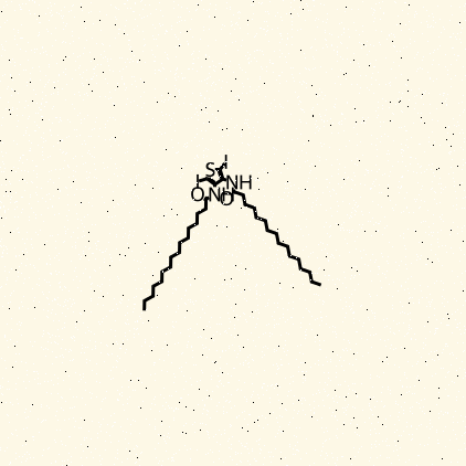 CCCCCCCCCCCCCCCC(=O)Nc1c(I)sc(I)c1NC(=O)CCCCCCCCCCCCCCC